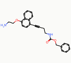 NCCOc1ccc(C#CCCNC(=O)OCc2ccccc2)c2ccccc12